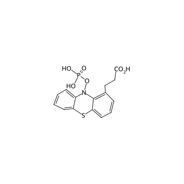 O=C(O)CCc1cccc2c1N(OP(=O)(O)O)c1ccccc1S2